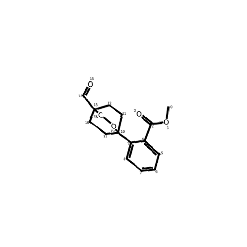 COC(=O)c1ccccc1C12CCC(C=O)(CC1)CO2